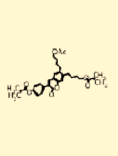 C=C(C)C(=O)OCCCCc1cc2oc(=O)c(-c3ccc(OC(=O)C(=C)C)cc3)cc2cc1CCCCOC(C)=O